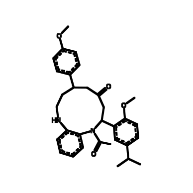 COc1ccc(C2CCNc3ccccc3N(C(C)=O)C(c3cc(C(C)C)ccc3OC)CC(=O)C2)cc1